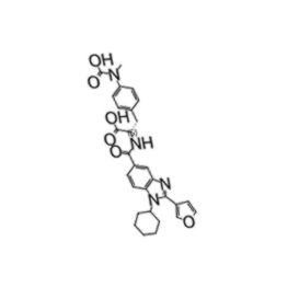 CN(C(=O)O)c1ccc(C[C@H](NC(=O)c2ccc3c(c2)nc(-c2ccoc2)n3C2CCCCC2)C(=O)O)cc1